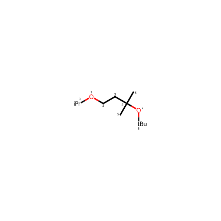 CC(C)OCCC(C)(C)OC(C)(C)C